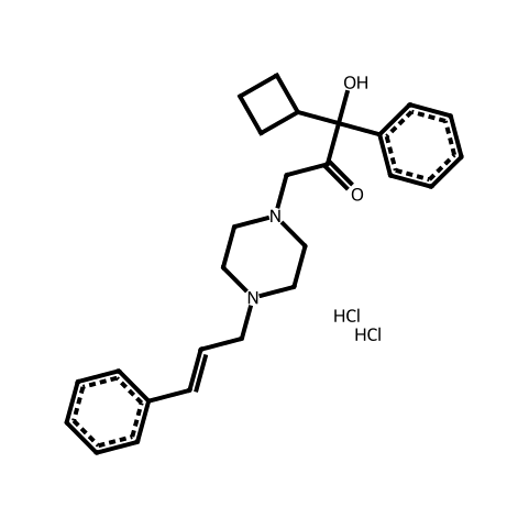 Cl.Cl.O=C(CN1CCN(CC=Cc2ccccc2)CC1)C(O)(c1ccccc1)C1CCC1